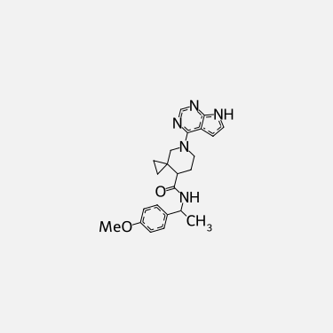 COc1ccc(C(C)NC(=O)C2CCN(c3ncnc4[nH]ccc34)CC23CC3)cc1